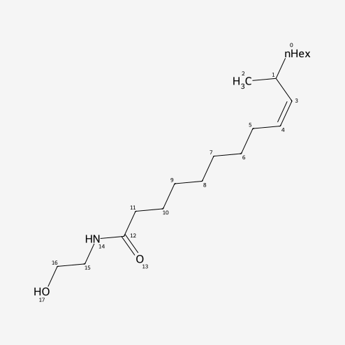 CCCCCCC(C)/C=C\CCCCCCCC(=O)NCCO